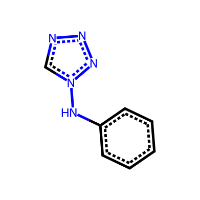 c1ccc(Nn2cnnn2)cc1